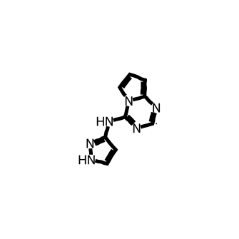 [c]1nc(Nc2cc[nH]n2)n2cccc2n1